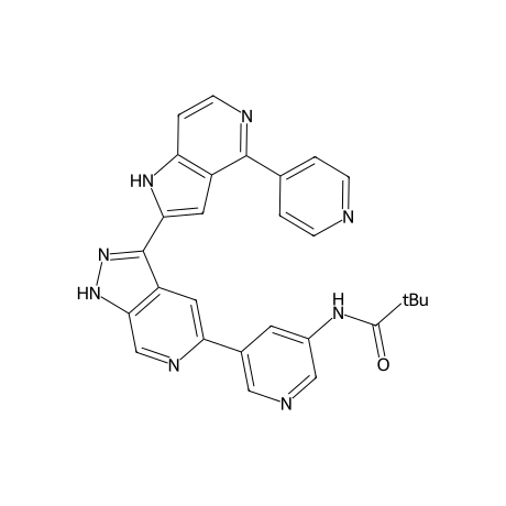 CC(C)(C)C(=O)Nc1cncc(-c2cc3c(-c4cc5c(-c6ccncc6)nccc5[nH]4)n[nH]c3cn2)c1